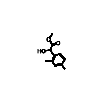 COC(=O)C(O)c1ccc(C)cc1C